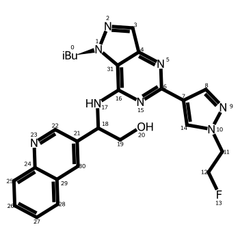 CC[C@H](C)n1ncc2nc(-c3cnn(CCF)c3)nc(NC(CO)c3cnc4ccccc4c3)c21